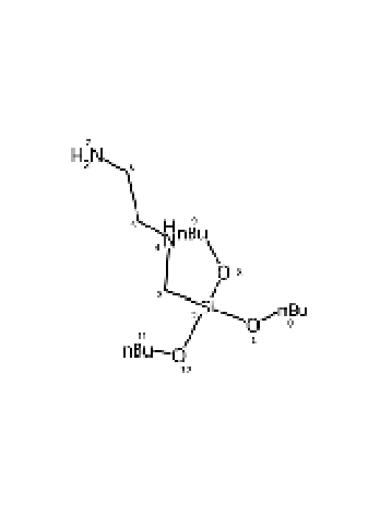 CCCCO[Si](CNCCN)(OCCCC)OCCCC